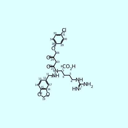 N=C(N)NCCC[C@@H](C(=O)O)N(NCc1ccc2c(c1)OCO2)C(=O)CC(=O)COc1ccc(Cl)cc1